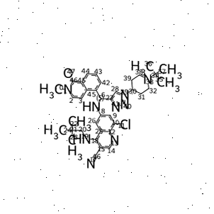 Cn1ccc2c([C@H](Nc3cc(Cl)c4ncc(C#N)c(NCC(C)(C)C)c4c3)c3cn(C4CCN(C(C)(C)C)CC4)nn3)cccc2c1=O